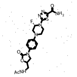 CC(=O)NCC1CN(c2ccc(N3CCN(c4nnc(C(N)=O)s4)[C@@H](F)C3)cc2)C(=O)O1